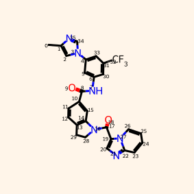 Cc1cn(-c2cc(NC(=O)c3ccc4c(c3)N(C(=O)c3cnc5ccccn35)CC4)cc(C(F)(F)F)c2)cn1